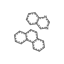 c1ccc2c(c1)ccc1ccccc12.c1ccc2ncncc2c1